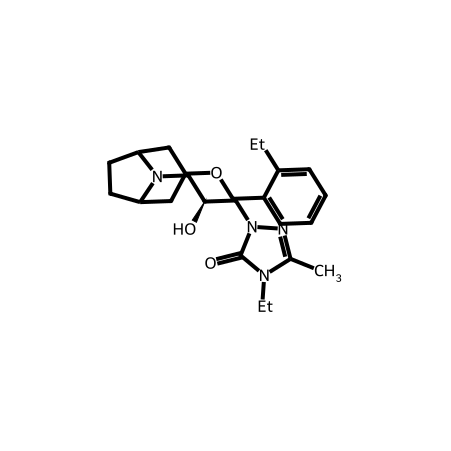 CCc1ccccc1COC1CC2CCC(C1)N2C[C@H](O)Cn1nc(C)n(CC)c1=O